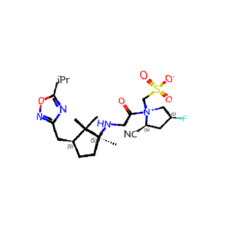 CC(C)c1nc(C[C@@H]2CC[C@](C)(NCC(=O)[N+]3(CS(=O)(=O)[O-])C[C@@H](F)C[C@H]3C#N)C2(C)C)no1